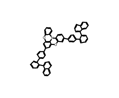 c1ccc2c(c1)Oc1cc(-c3ccc(-c4ccccc4-c4cccc5ccccc45)cc3)cc3c1N2c1ccc(-c2ccc(-c4ccccc4-c4cccc5ccccc45)cc2)cc1O3